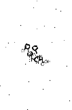 O=C(O)c1cnn2c(NCc3ccccc3)c(C(=O)N3CCN(c4ccccc4Cl)CC3)cnc12